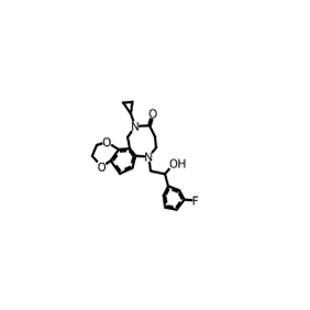 O=C1CCN(CC(O)c2cccc(F)c2)c2ccc3c(c2CN1C1CC1)OCCO3